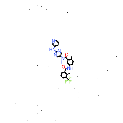 Cc1ccc(NC(=O)c2cccc(C(F)(F)F)c2C)cc1C(=O)Nc1cnc(Nc2cccnc2)nc1